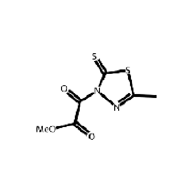 COC(=O)C(=O)n1nc(C)sc1=S